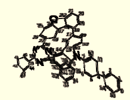 c1ccc(-c2ccc(-n3c4ccccc4c4cc(-c5cccc6oc7ccc(-c8nc(-c9ccccc9)nc(-c9ccccc9)n8)cc7c56)ccc43)cc2)cc1